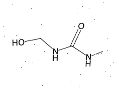 CNC(=O)NCO